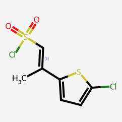 C/C(=C\S(=O)(=O)Cl)c1ccc(Cl)s1